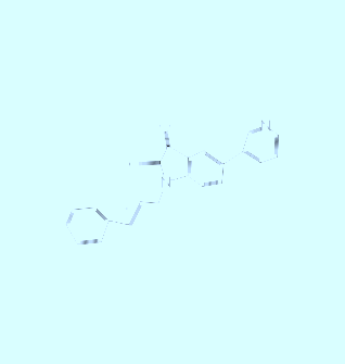 O=C1C(=O)N(C/C=C/c2ccccc2)c2ccc(-c3cccnc3)cc21